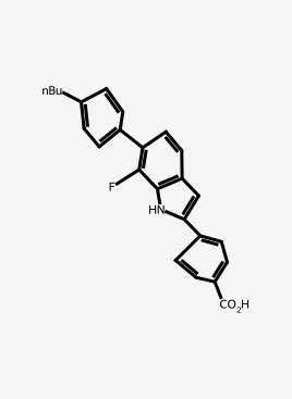 CCCCc1ccc(-c2ccc3cc(-c4ccc(C(=O)O)cc4)[nH]c3c2F)cc1